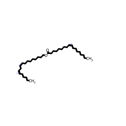 CCCCC/C=C\C/C=C\CCCCCCCCOC(=O)CCCCCCC/C=C\CCCCCCCC